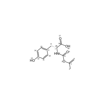 C=C(C)OC(=O)N[C@H](Cc1ccc(O)cc1)C(=O)O